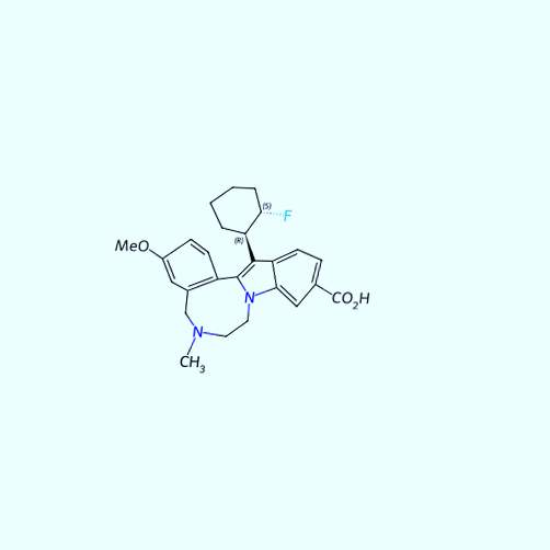 COc1ccc2c(c1)CN(C)CCn1c-2c([C@H]2CCCC[C@@H]2F)c2ccc(C(=O)O)cc21